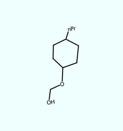 CCCC1CCC(OCO)CC1